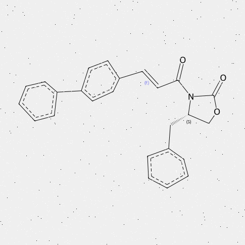 O=C(/C=C/c1ccc(-c2ccccc2)cc1)N1C(=O)OC[C@@H]1Cc1ccccc1